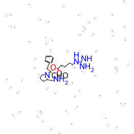 N=C(N)NCCCCC(=O)OC(C=O)(Cc1ccccc1)N1CCCC1CN